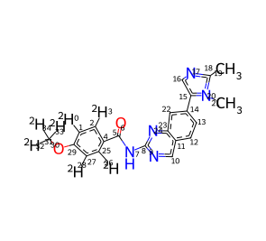 [2H]c1c([2H])c(C(=O)Nc2ncc3ccc(-c4cnc(C)n4C)cc3n2)c([2H])c([2H])c1OC([2H])([2H])[2H]